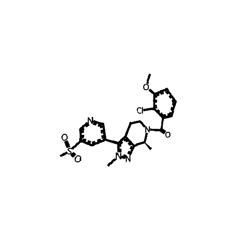 COc1cccc(C(=O)N2CCc3c(nn(C)c3-c3cncc(S(C)(=O)=O)c3)[C@@H]2C)c1Cl